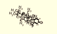 COC(=O)[C@@]1(OC(=O)C2C(C)(C)C2(C)C)[C@H](C)C[C@H]2[C@@H]3C[C@H](F)C4=CC(=O)C=C[C@]4(C)[C@@]3(F)[C@@H](O)C[C@@]21C